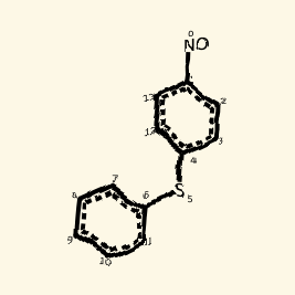 O=Nc1ccc(Sc2ccccc2)cc1